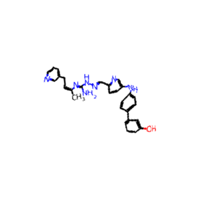 CC(=C/Cc1cccnc1)/N=C(\N)N/N=C/c1ccc(Nc2ccc(-c3cccc(O)c3)cc2)cn1